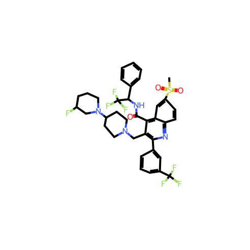 CS(=O)(=O)c1ccc2nc(-c3cccc(C(F)(F)F)c3)c(CN3CCC(N4CCCC(F)C4)CC3)c(C(=O)NC(c3ccccc3)C(F)(F)F)c2c1